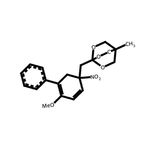 COC1=C(c2ccccc2)CC(CC23OCC(C)(CO2)CO3)([N+](=O)[O-])C=C1